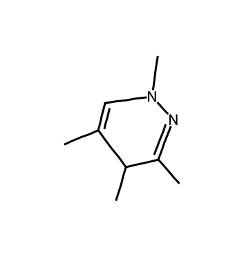 CC1=CN(C)N=C(C)C1C